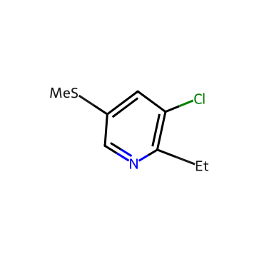 CCc1ncc(SC)cc1Cl